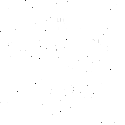 BCC(C)(CC)CCC1(C(C)CCCCC)CI(B)C[C@@]1(CCCCCCCCC)C(C)(C)CCC